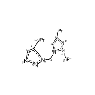 CC(C)c1c[n+](Cn2nncc2C(C)C)n(C(C)C)n1